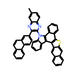 Cc1ccc2nc(-n3c4ccccc4c4c5c6cc7ccccc7cc6sc5c5ccccc5c43)c(-c3ccc4c(ccc5ccccc54)c3)nc2c1